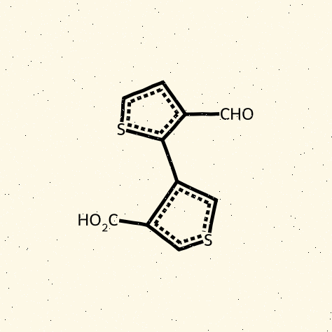 O=Cc1ccsc1-c1cscc1C(=O)O